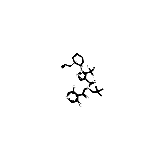 C=CC[C@H]1CCCC[C@H]1n1ncc(C(=O)N(CC(=O)c2c(Cl)cncc2Cl)CC(C)(C)C)c1C(F)(F)F